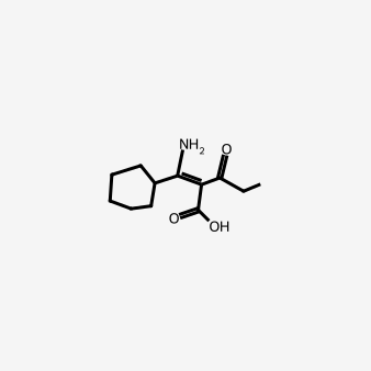 CCC(=O)C(C(=O)O)=C(N)C1CCCCC1